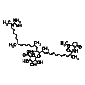 COC1=C(NC(=O)C(C)=CC=CC=CC=CC=CC(C)C(OC2OC(C(=O)O)C(O)C(O)C2O)C(C)=CC(C)CCCC=CC(C)CC=CCCCN(C)C(=N)N)C(=O)CC1